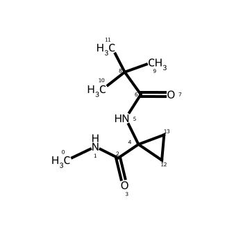 CNC(=O)C1(NC(=O)C(C)(C)C)CC1